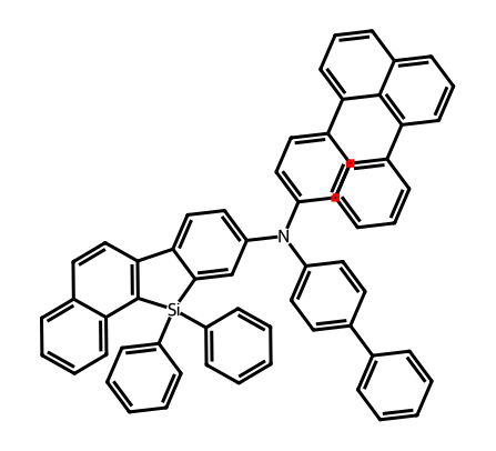 c1ccc(-c2ccc(N(c3ccc(-c4cccc5cccc(-c6ccccc6)c45)cc3)c3ccc4c(c3)[Si](c3ccccc3)(c3ccccc3)c3c-4ccc4ccccc34)cc2)cc1